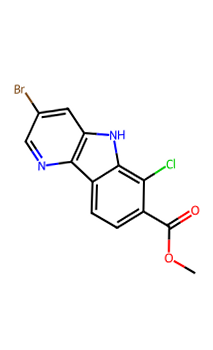 COC(=O)c1ccc2c([nH]c3cc(Br)cnc32)c1Cl